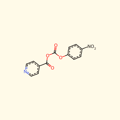 O=C(OC(=O)c1ccncc1)Oc1ccc([N+](=O)[O-])cc1